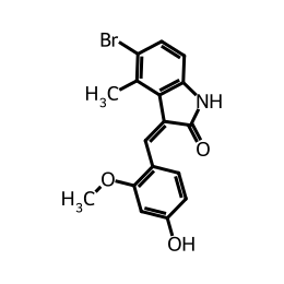 COc1cc(O)ccc1C=C1C(=O)Nc2ccc(Br)c(C)c21